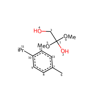 COC(O)(CO)OC.Cc1ccc(C(C)C)cc1